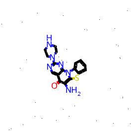 Nc1c(=O)c2cnc(N3CCNCC3)nc2n2c1sc1ccccc12